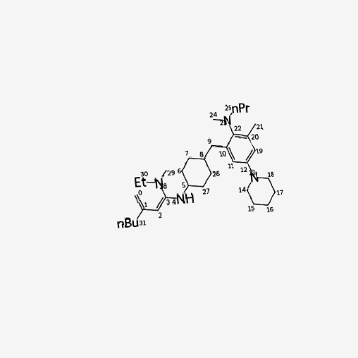 C=C(/C=C(/NC1CCC(Cc2cc(N3CCCCC3)cc(C)c2N(C)CCC)CC1)N(C)CC)CCCC